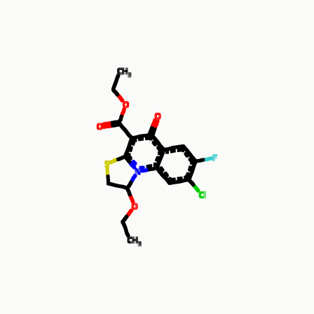 CCOC(=O)c1c2n(c3cc(Cl)c(F)cc3c1=O)C(OCC)CS2